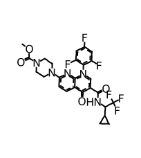 COC(=O)N1CCN(c2ccc3c(=O)c(C(=O)NC(C4CC4)C(F)(F)F)cn(-c4c(F)cc(F)cc4F)c3n2)CC1